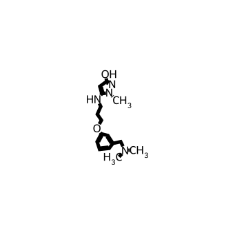 CN(C)Cc1cccc(OCCCNc2cc(O)nn2C)c1